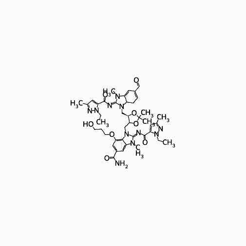 CCn1nc(C)cc1C(=O)/N=C1\N(C)C2=CC(C=O)=CCC2N1C[C@H]1OC(C)(C)OC1Cn1/c(=N/C(=O)c2cc(C)nn2CC)n(C)c2cc(C(N)=O)cc(OCCCO)c21